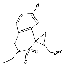 CCN1Cc2ccc(Cl)cc2C2(CC2CO)S1(=O)=O